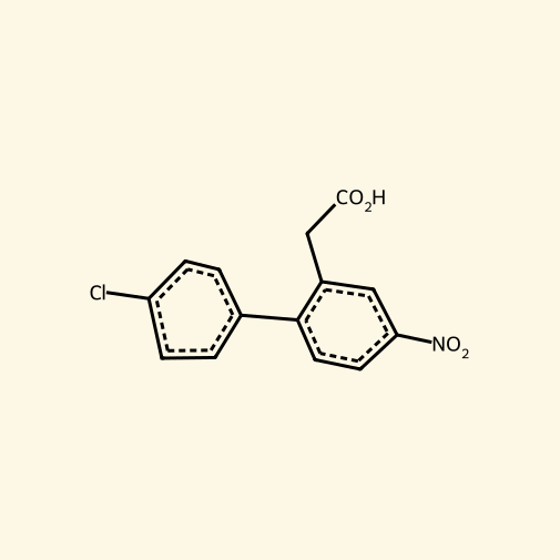 O=C(O)Cc1cc([N+](=O)[O-])ccc1-c1ccc(Cl)cc1